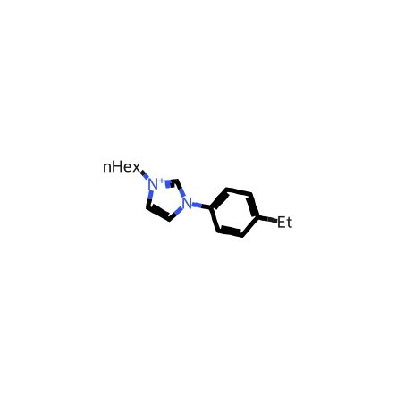 CCCCCC[n+]1ccn(-c2ccc(CC)cc2)c1